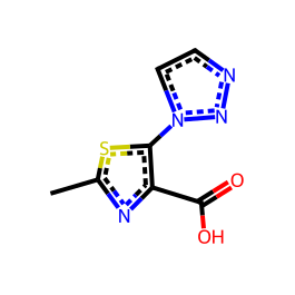 Cc1nc(C(=O)O)c(-n2ccnn2)s1